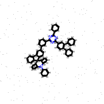 c1ccc(-c2nc(-c3cccc(-c4ccc5c(c4)-c4ccccc4C54c5ccccc5N(c5ccccc5)c5ccccc54)c3)nc(-c3ccc(-c4ccccc4)c(-c4ccccc4)c3)n2)cc1